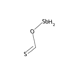 S=C[O][SbH2]